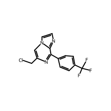 FC(F)(F)c1ccc(-c2nc(CCl)cn3ccnc23)cc1